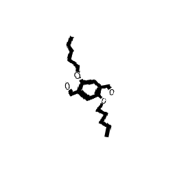 CCCCCOc1cc(C=O)c(OCCCCC)cc1C=O